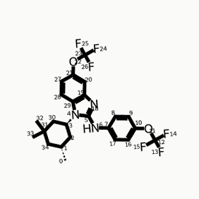 C[C@H]1C[C@@H](n2c(Nc3ccc(OC(F)(F)F)cc3)nc3cc(OC(F)(F)F)ccc32)CC(C)(C)C1